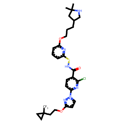 CC1(C)CC(CCCOc2cccc(SNC(=O)c3ccc(-n4ccc(OCCC5(C(F)(F)F)CC5)n4)nc3Cl)n2)CN1